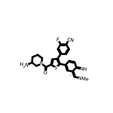 CN/C=C1/C=C(c2sc(C(=O)N3CCCC(N)C3)cc2-c2ccc(C#N)c(F)c2)C=CC1=N